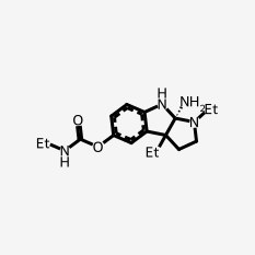 CCNC(=O)Oc1ccc2c(c1)C1(CC)CCN(CC)[C@]1(N)N2